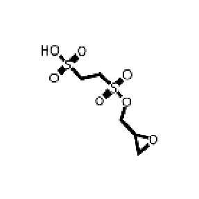 O=S(=O)(O)CCS(=O)(=O)OCC1CO1